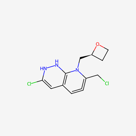 ClCC1=C=CC2=C(NNC(Cl)=C2)N1C[C@@H]1CCO1